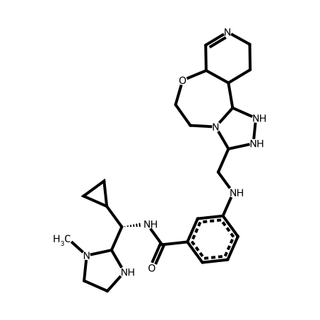 CN1CCNC1[C@@H](NC(=O)c1cccc(NCC2NNC3C4CCN=CC4OCCN23)c1)C1CC1